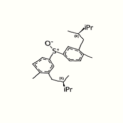 Cc1ccc([S+]([O-])c2ccc(C)c(C[C@@H](C)C(C)C)c2)cc1C[C@@H](C)C(C)C